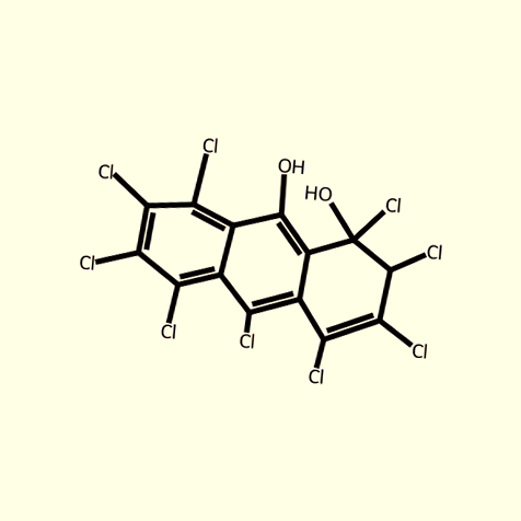 Oc1c2c(c(Cl)c3c(Cl)c(Cl)c(Cl)c(Cl)c13)C(Cl)=C(Cl)C(Cl)C2(O)Cl